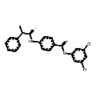 CC(C(=O)Nc1ccc(C(=O)Oc2cc(Cl)cc(Cl)c2)cc1)c1ccccc1